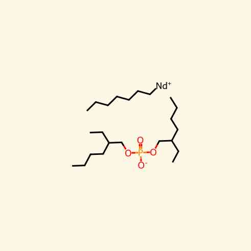 CCCCC(CC)COP(=O)([O-])OCC(CC)CCCC.CCCCCC[CH2][Nd+]